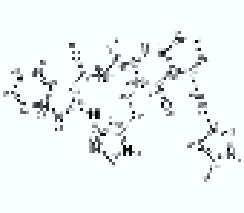 Cc1ncc(C#Cc2cccc3cc([C@@H](C)NC(=O)c4c(N)nn5cccnc45)n(CCc4c[nH]cn4)c(=O)c23)s1